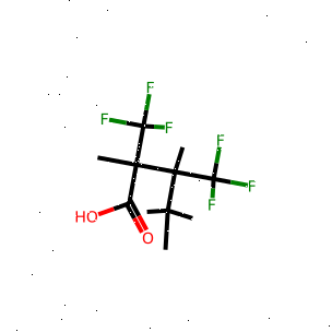 CC(C)(C)C(C)(C(F)(F)F)C(C)(C(=O)O)C(F)(F)F